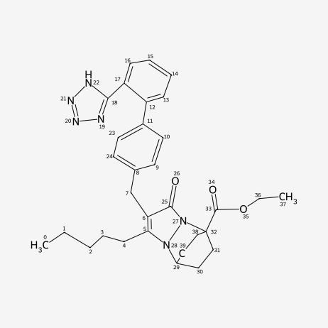 CCCCCc1c(Cc2ccc(-c3ccccc3-c3nnn[nH]3)cc2)c(=O)n2n1C1CCC2(C(=O)OCC)CC1